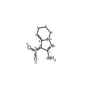 NC1=NN2CCCC=C2C1=S(=O)=O